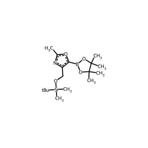 Cc1nc(CO[Si](C)(C)C(C)(C)C)c(B2OC(C)(C)C(C)(C)O2)o1